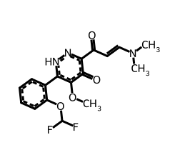 COc1c(-c2ccccc2OC(F)F)[nH]nc(C(=O)C=CN(C)C)c1=O